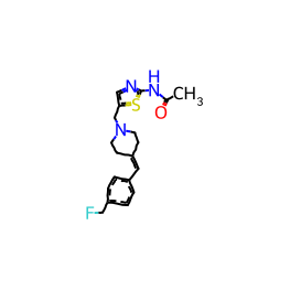 CC(=O)Nc1ncc(CN2CCC(=Cc3ccc(CF)cc3)CC2)s1